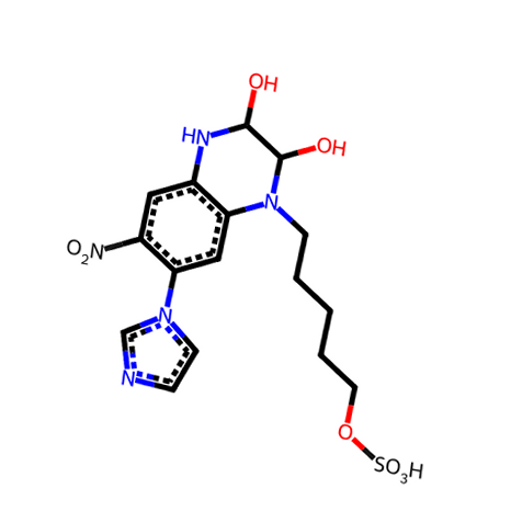 O=[N+]([O-])c1cc2c(cc1-n1ccnc1)N(CCCCCOS(=O)(=O)O)C(O)C(O)N2